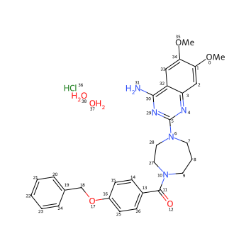 COc1cc2nc(N3CCCN(C(=O)c4ccc(OCc5ccccc5)cc4)CC3)nc(N)c2cc1OC.Cl.O.O